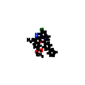 COC(=O)c1ccc([C@H](C)NC(=O)c2cc(Cl)cc3ccn(Cc4ccc(-c5ccccc5)cc4)c23)cc1